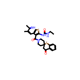 CCNC(=O)Nc1scc(/C=C(/C)C(C)=N)c1C(=O)N1CCC2(CC1)CC(=O)c1ccccc1S2